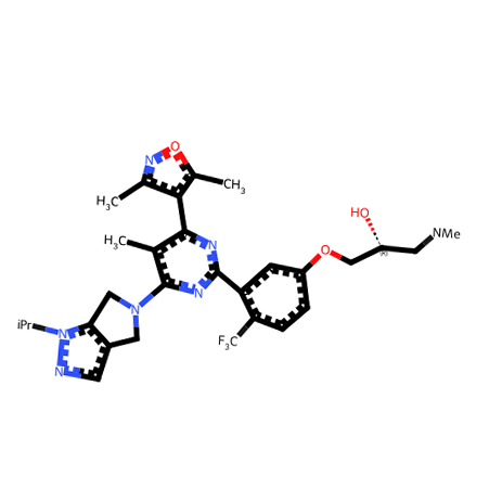 CNC[C@@H](O)COc1ccc(C(F)(F)F)c(-c2nc(-c3c(C)noc3C)c(C)c(N3Cc4cnn(C(C)C)c4C3)n2)c1